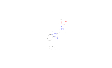 COCCCn1c(C2CCCN(C(=O)OC(C)(C)C)C2)nc2ccccc21